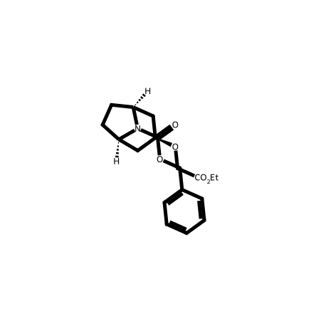 CCOC(=O)CO[C@H]1C[C@H]2CC[C@@H](C1)N2C(=O)OCc1ccccc1